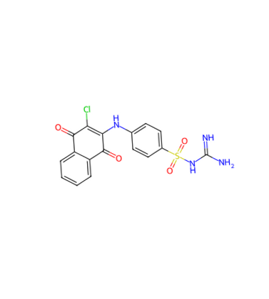 N=C(N)NS(=O)(=O)c1ccc(NC2=C(Cl)C(=O)c3ccccc3C2=O)cc1